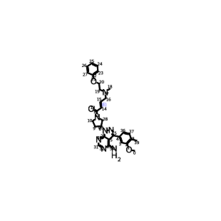 COc1cc(-c2nn([C@@H]3CCN(C(=O)/C=C/CN(C)CCOc4ccccc4)C3)c3ncnc(N)c23)ccc1C